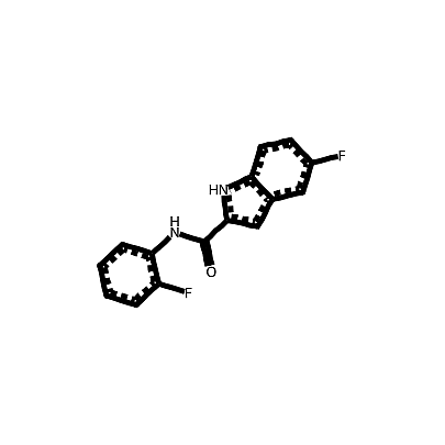 O=C(Nc1ccccc1F)c1cc2cc(F)ccc2[nH]1